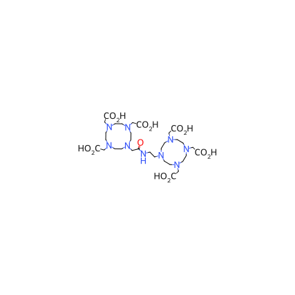 O=C(O)CN1CCN(CCNC(=O)CN2CCN(CC(=O)O)CCN(CC(=O)O)CCN(CC(=O)O)CC2)CCN(CC(=O)O)CCN(CC(=O)O)CC1